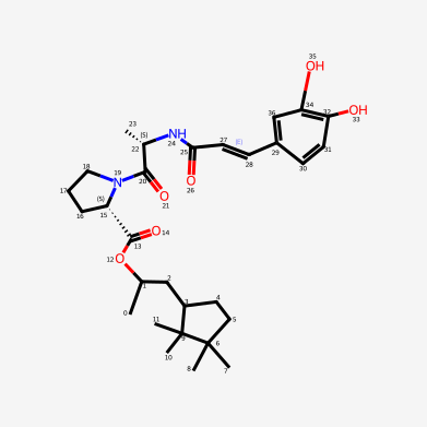 CC(CC1CCC(C)(C)C1(C)C)OC(=O)[C@@H]1CCCN1C(=O)[C@H](C)NC(=O)/C=C/c1ccc(O)c(O)c1